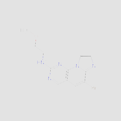 COCCNc1ncc2c(n1)N1CCN=C1C(Br)=C2